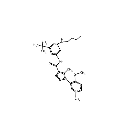 COc1ccc(C)cc1-n1nnc(C(=O)Nc2cc(NCCCI)cc(C(C)(C)C)c2)c1C